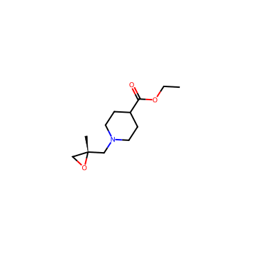 CCOC(=O)C1CCN(C[C@@]2(C)CO2)CC1